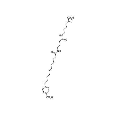 C[C@@H](CCCCNC(=O)CCCNC(=O)CCCCCCCCCOc1ccc(C(=O)O)cc1)C(=O)O